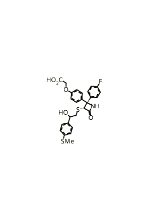 CSc1ccc(C(O)CS[C@H]2C(=O)N[C@@]2(c2ccc(F)cc2)c2ccc(OCC(=O)O)cc2)cc1